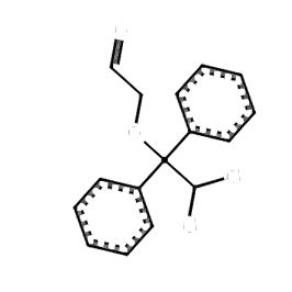 O=CCOC(c1ccccc1)(c1ccccc1)C(Cl)Cl